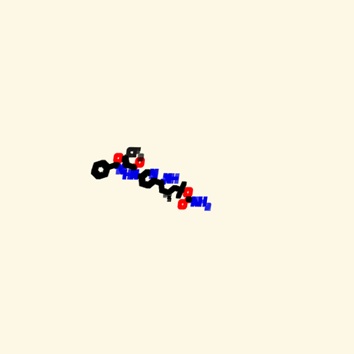 C[C@H](CC(=N)c1ccc(NC(=O)c2nc(-c3ccccc3)oc2C(F)(F)F)cn1)CC(C)(C)OC(N)=O